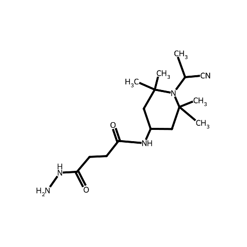 CC(C#N)N1C(C)(C)CC(NC(=O)CCC(=O)NN)CC1(C)C